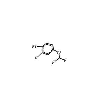 CCc1ccc(OC(F)F)cc1F